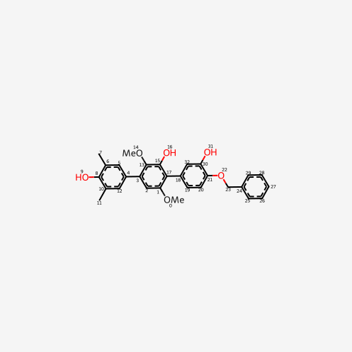 COc1cc(-c2cc(C)c(O)c(C)c2)c(OC)c(O)c1-c1ccc(OCc2ccccc2)c(O)c1